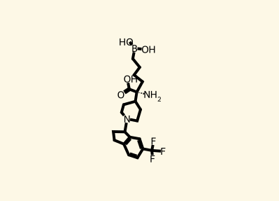 N[C@@](CCCCB(O)O)(C(=O)O)C1CCN(C2CCc3ccc(C(F)(F)F)cc32)CC1